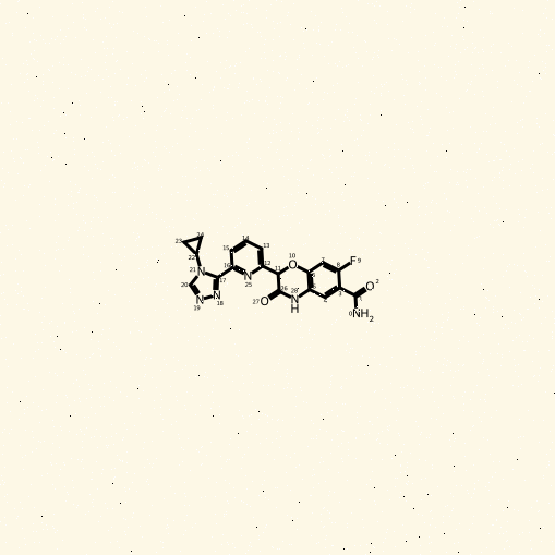 NC(=O)c1cc2c(cc1F)OC(c1cccc(-c3nncn3C3CC3)n1)C(=O)N2